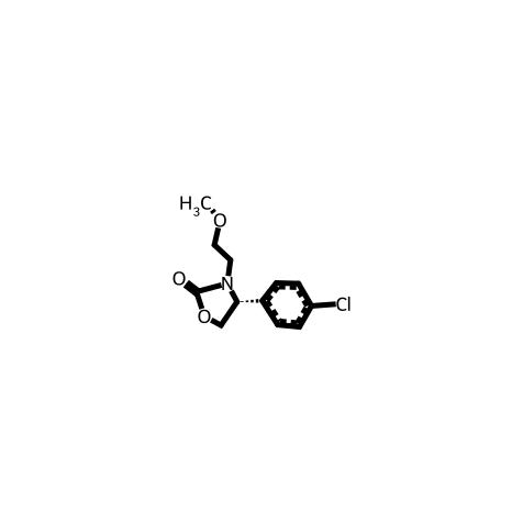 COCCN1C(=O)OC[C@H]1c1ccc(Cl)cc1